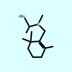 CCCCC(C)B(C)CC1=C(C)CCCC1(C)C